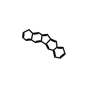 C1=CCc2cc3c(cc2=C1)-c1cc2ccccc2cc1C=3